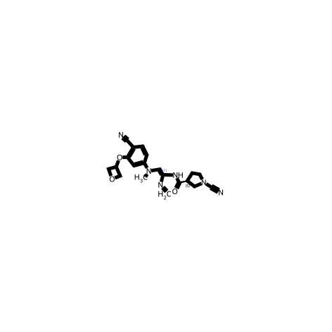 C=N/C(=C\N(C)c1ccc(C#N)c(OC2COC2)c1)NC(=O)[C@H]1CCN(C#N)C1